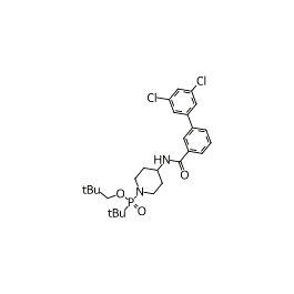 CC(C)(C)COP(=O)(N1CCC(NC(=O)c2cccc(-c3cc(Cl)cc(Cl)c3)c2)CC1)C(C)(C)C